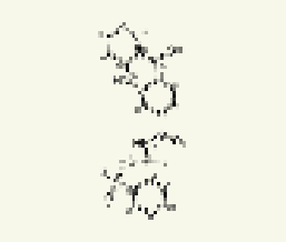 CC(C)(NC(=O)c1ccc2c(=O)c3ccccc3[nH]c2c1)c1ccccc1S(C)(=O)=O